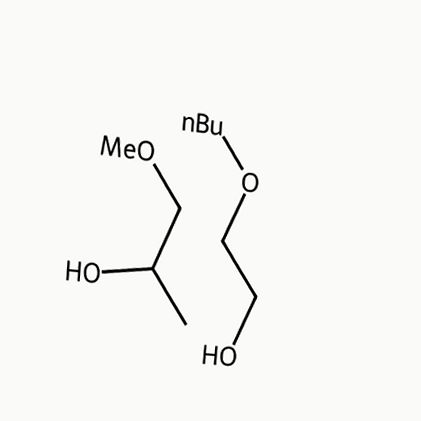 CCCCOCCO.COCC(C)O